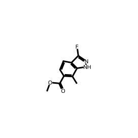 COC(=O)c1ccc2c(F)n[nH]c2c1C